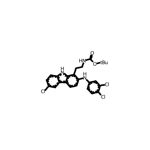 CC(C)(C)OC(=O)NCCc1c(Nc2ccc(Cl)c(Cl)c2)ccc2c1[nH]c1ccc(Cl)cc12